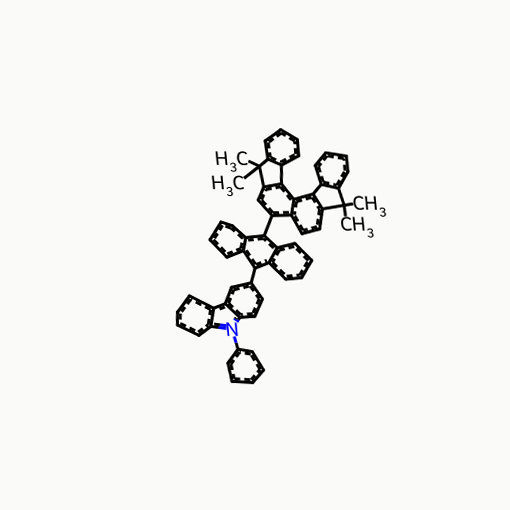 CC1(C)c2ccccc2-c2c1ccc1c(-c3c4ccccc4c(-c4ccc5c(c4)c4ccccc4n5-c4ccccc4)c4ccccc34)cc3c(c21)-c1ccccc1C3(C)C